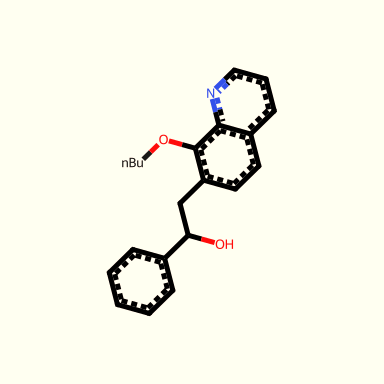 CCCCOc1c(CC(O)c2ccccc2)ccc2cccnc12